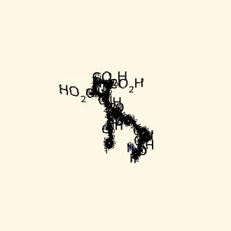 C/N=C/[C@H]1CC(F)(F)CN1C(=O)CNC(=O)c1ccnc2ccc(OCCCC3CCN(C(=O)CN4C(=O)CC(S[C@H](CCCCCNC(=O)CCCc5ccc(I)cc5)CNC(=O)CN5CCN(CC(=O)O)CCN(CC(=O)O)CCN(CC(=O)O)CC5)C4=O)CC3)cc12